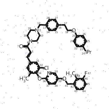 Cc1cc(/C=C/C(=O)N2CCN(Cc3ccc(CCOc4ccc(C(C)C)cc4)cc3)CC2)cc(Cl)c1Oc1ccc(OCc2cccc(F)c2C)cn1